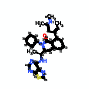 C=N/C(C)=C\C(=C/C)c1cccc2cc([C@H](C)Nc3ncnc4scnc34)n(-c3ccccc3)c(=O)c12